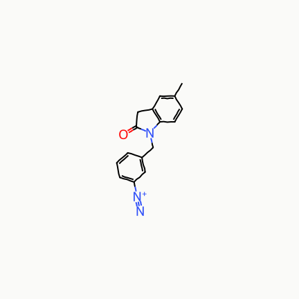 Cc1ccc2c(c1)CC(=O)N2Cc1cccc([N+]#N)c1